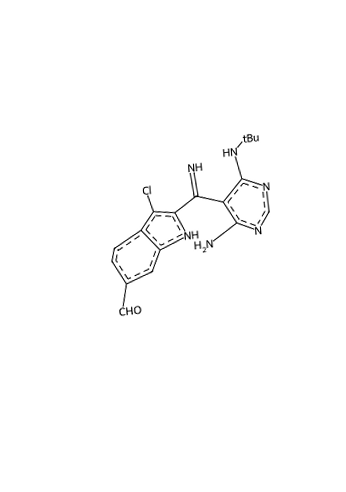 CC(C)(C)Nc1ncnc(N)c1C(=N)c1[nH]c2cc(C=O)ccc2c1Cl